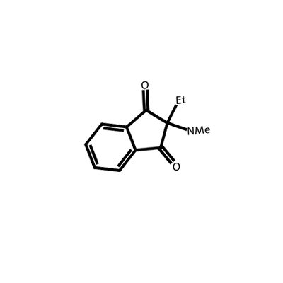 CCC1(NC)C(=O)c2ccccc2C1=O